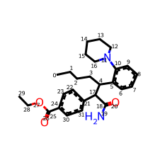 CCCCC(c1ccccc1N1CCCCC1)C(C(N)=O)c1ccc(C(=O)OCC)cc1